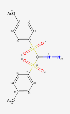 CC(=O)Oc1ccc(S(=O)(=O)C(=[N+]=[N-])S(=O)(=O)c2ccc(OC(C)=O)cc2)cc1